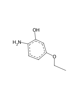 CCOc1ccc(N)c(O)c1